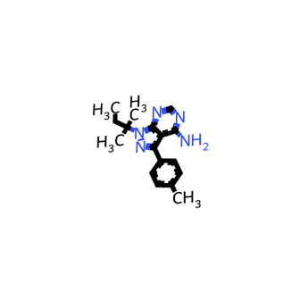 CCC(C)(C)n1nc(-c2ccc(C)cc2)c2c(N)ncnc21